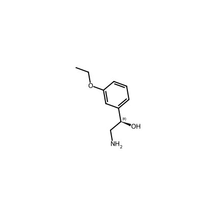 CCOc1cccc([C@@H](O)CN)c1